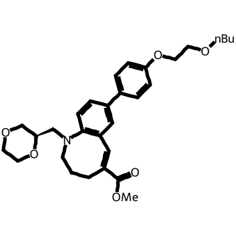 CCCCOCCOc1ccc(-c2ccc3c(c2)/C=C(/C(=O)OC)CCCN3C[C@@H]2COCCO2)cc1